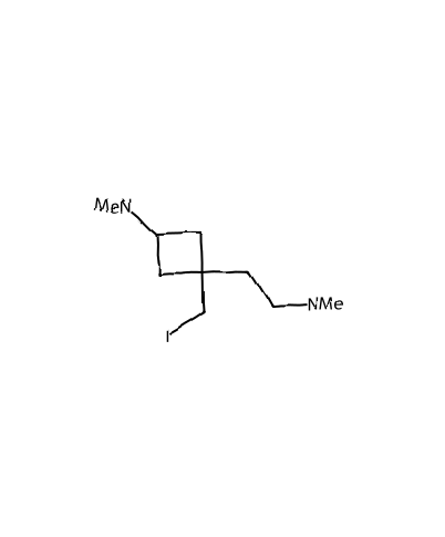 CNCCC1(CI)CC(NC)C1